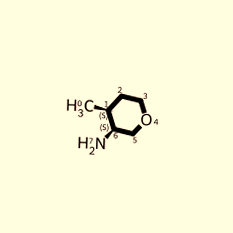 C[C@H]1CCOC[C@H]1N